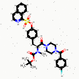 CN(C(=O)OC(C)(C)C)[C@@H](Cc1ccc(OS(=O)(=O)c2nccc3ccccc23)cc1)C(=O)N1CCN(C(=O)c2ccc(F)cc2)CC1